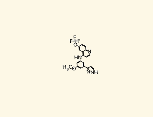 COc1cc(Nc2ccnc3ccc(OC(F)(F)F)cc23)cc(-c2cc[nH]n2)c1